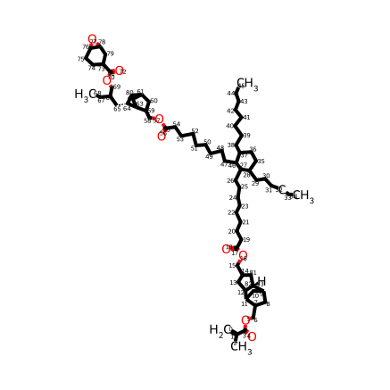 C=C(C)C(=O)OCC1CC2CC1C1CC(COC(=O)CCCCCCCCC3C(CCCCCC)CCC(CCCCCCCC)C3CCCCCCCCC(=O)OCC3CC4CC3[C@H](CC(CC)COC(=O)C3CCC5OC5C3)C4)C[C@H]21